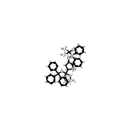 COC(OC)(OC(c1ccccc1)(c1ccccc1)c1ccccc1)C1CC(O[Si](c2ccccc2)(c2ccccc2)C(C)(C)C)CN1